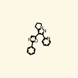 c1ccc(-c2ncc(-c3c(-c4ccccn4)nn4c3CCC4)o2)cc1